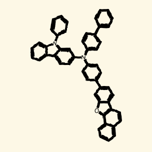 c1ccc(-c2ccc(N(c3ccc(-c4ccc5c(c4)oc4c6ccccc6ccc54)cc3)c3ccc4c5ccccc5n(-c5ccccc5)c4c3)cc2)cc1